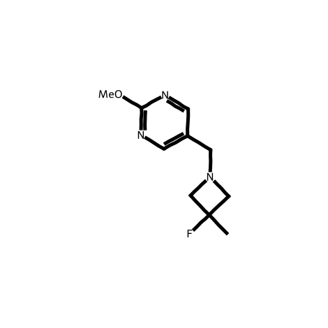 COc1ncc(CN2CC(C)(F)C2)cn1